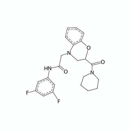 O=C(CN1CC(C(=O)N2CCCCC2)Oc2ccccc21)Nc1cc(F)cc(F)c1